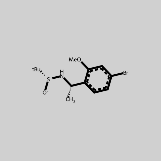 COc1cc(Br)ccc1[C@H](C)N[S@+]([O-])C(C)(C)C